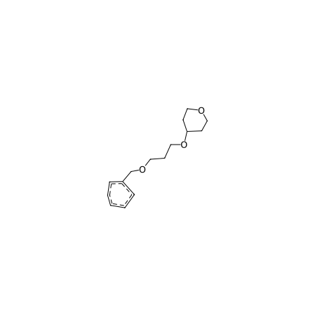 c1ccc(COCCCOC2CCOCC2)cc1